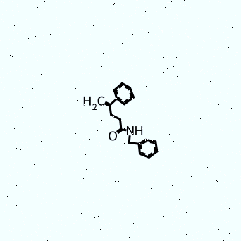 C=C(CCC(=O)NCc1ccccc1)c1ccccc1